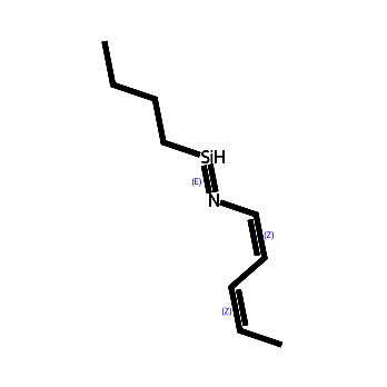 C\C=C/C=C\N=[SiH]\CCCC